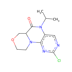 CC(C)N1C(=O)C2COCCN2c2nc(Cl)ncc21